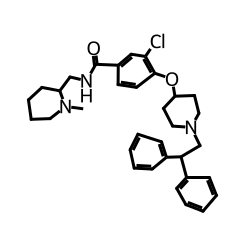 CN1CCCCC1CNC(=O)c1ccc(OC2CCN(CC(c3ccccc3)c3ccccc3)CC2)c(Cl)c1